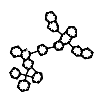 c1ccc(C2(c3ccccc3)c3ccccc3-c3cc4c(-c5ccc(-c6ccc7c(-c8ccc9ccccc9c8)c8ccccc8c(-c8ccc9ccccc9c8)c7c6)cc5)nc5ccccc5c4cc32)cc1